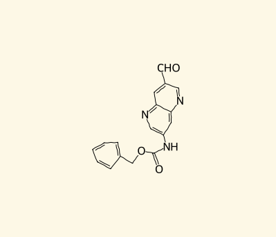 O=Cc1cnc2cc(NC(=O)OCc3ccccc3)cnc2c1